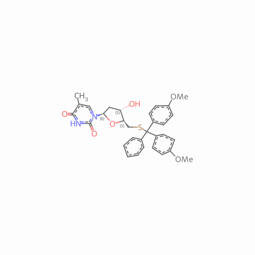 COc1ccc(C(SC[C@H]2O[C@@H](n3cc(C)c(=O)[nH]c3=O)C[C@@H]2O)(c2ccccc2)c2ccc(OC)cc2)cc1